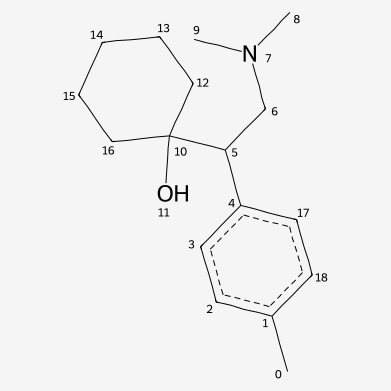 Cc1ccc(C(CN(C)C)C2(O)CCCCC2)cc1